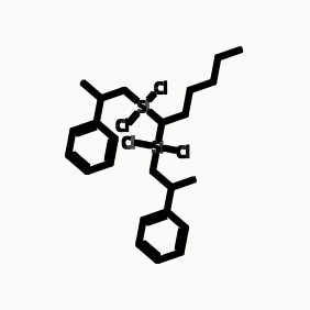 CCCCCC([Si](Cl)(Cl)CC(C)c1ccccc1)[Si](Cl)(Cl)CC(C)c1ccccc1